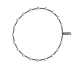 S=C1C[CH]CCCCCCCCC[CH]CCCCCCC1